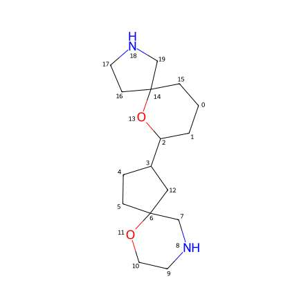 C1CC(C2CCC3(CNCCO3)C2)OC2(C1)CCNC2